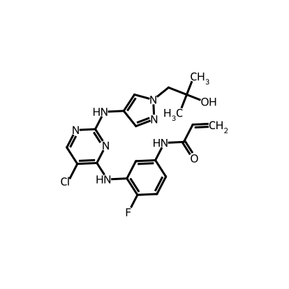 C=CC(=O)Nc1ccc(F)c(Nc2nc(Nc3cnn(CC(C)(C)O)c3)ncc2Cl)c1